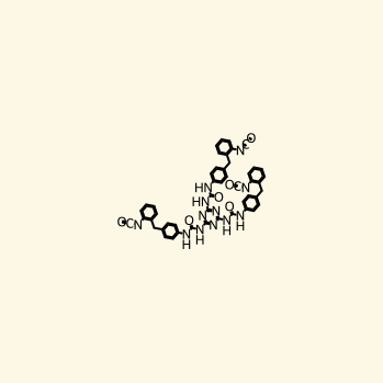 O=C=Nc1ccccc1Cc1ccc(NC(=O)Nc2nc(NC(=O)Nc3ccc(Cc4ccccc4N=C=O)cc3)nc(NC(=O)Nc3ccc(Cc4ccccc4N=C=O)cc3)n2)cc1